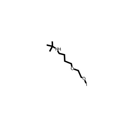 CC(C)(C)NCCCCOCCOI